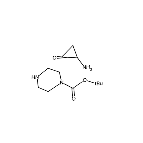 CC(C)(C)OC(=O)N1CCNCC1.NC1CC1=O